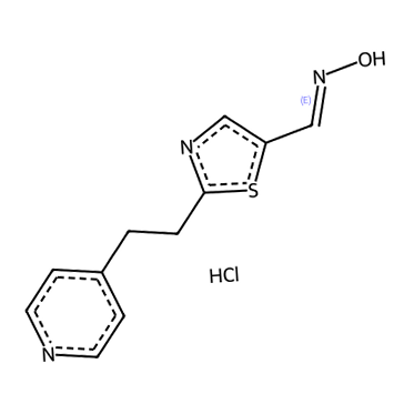 Cl.O/N=C/c1cnc(CCc2ccncc2)s1